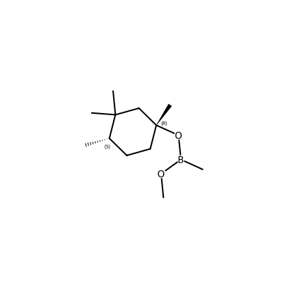 COB(C)O[C@]1(C)CC[C@H](C)C(C)(C)C1